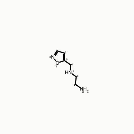 NCCNCc1ccno1